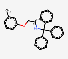 Cc1cccc(OC[C@H](NC(c2ccccc2)(c2ccccc2)c2ccccc2)C(=O)O)c1